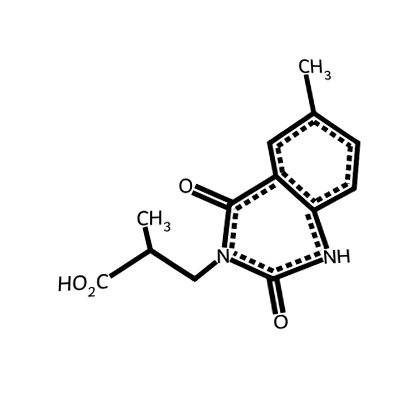 Cc1ccc2[nH]c(=O)n(CC(C)C(=O)O)c(=O)c2c1